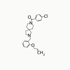 C=CCOc1ccccc1CN1CCC2(CCN(C(=O)c3ccc(Cl)cc3)CC2)C1